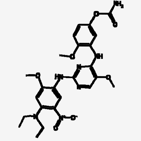 CCN(CC)c1cc(OC)c(Nc2ncc(OC)c(Nc3cc(OC(N)=O)ccc3OC)n2)cc1[N+](=O)[O-]